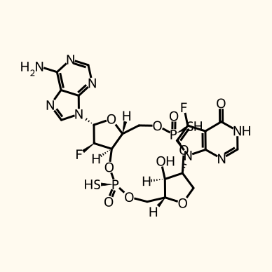 Nc1ncnc2c1ncn2[C@@H]1O[C@@H]2CO[P@@](=O)(S)O[C@@]3(n4cc(F)c5c(=O)[nH]cnc54)CO[C@H](CO[P@@](=O)(S)O[C@H]2[C@H]1F)[C@H]3O